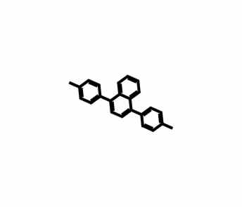 Cc1ccc(-c2ccc(-c3ccc(C)cc3)c3ccccc23)cc1